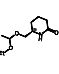 CCOC(C)OC[C@H]1CCCC(=O)N1